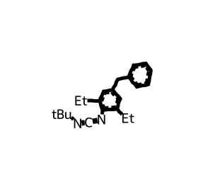 CCc1cc(Cc2ccccc2)cc(CC)c1N=C=NC(C)(C)C